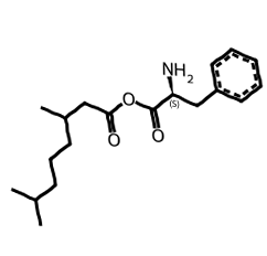 CC(C)CCCC(C)CC(=O)OC(=O)[C@@H](N)Cc1ccccc1